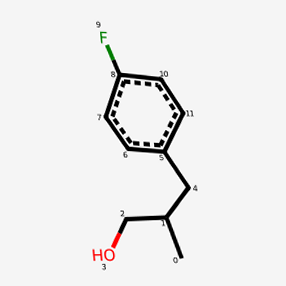 CC(CO)Cc1ccc(F)cc1